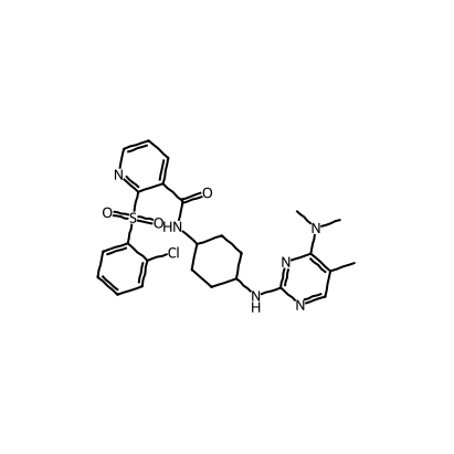 Cc1cnc(NC2CCC(NC(=O)c3cccnc3S(=O)(=O)c3ccccc3Cl)CC2)nc1N(C)C